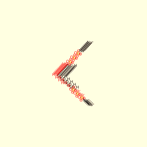 O=S(=O)(O)O.O=S(=O)(O)O.O=S(=O)(O)O.O=S(=O)(O)O.O=S(=O)(O)O.O=S(=O)(O)O.O=S(=O)(O)O.O=S(=O)(O)O.O=S(=O)(O)O.O=S(=O)(O)O.O=S(=O)(O)O.O=S(=O)(O)O.O=S(=O)(O)O.O=S(=O)([O-])O.O=S(=O)([O-])[O-].O=S(=O)([O-])[O-].O=S(=O)([O-])[O-].O=S(=O)([O-])[O-].O=S(=O)([O-])[O-].O=S(=O)([O-])[O-].[Na+].[Na+].[Na+].[Na+].[Na+].[Na+].[Na+].[Na+].[Na+].[Na+].[Na+].[Na+].[Na+]